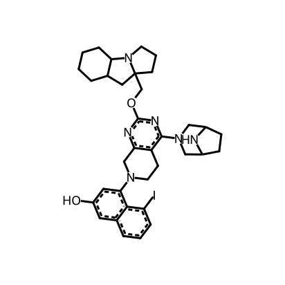 Oc1cc(N2CCc3c(nc(OCC45CCCN4C4CCCCC4C5)nc3N3CC4CCC(C3)N4)C2)c2c(I)cccc2c1